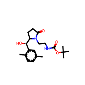 Cc1ccc(C)c([C@@H](O)C2CCC(=O)N2CCNC(=O)OC(C)(C)C)c1